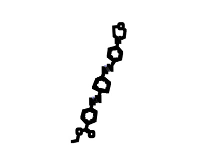 CCOC(=O)c1ccc(/N=N/c2ccc(/N=N/c3ccc(N4CCOCC4)cc3)cc2)cc1